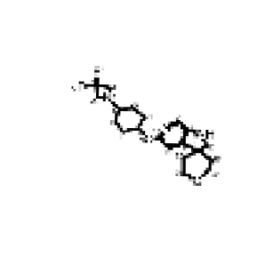 FC1(F)CN(C2CCC(Oc3cc4c(cn3)NCC43CCOCC3)CC2)C1